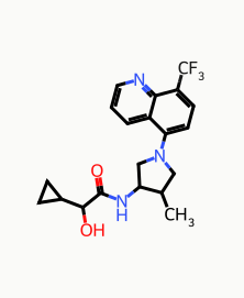 CC1CN(c2ccc(C(F)(F)F)c3ncccc23)CC1NC(=O)C(O)C1CC1